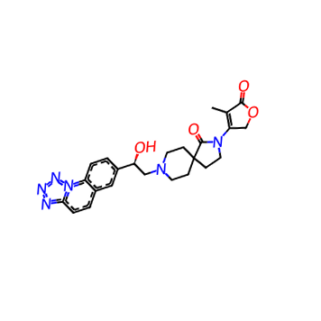 CC1=C(N2CCC3(CCN(C[C@H](O)c4ccc5c(ccc6nnnn65)c4)CC3)C2=O)COC1=O